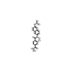 CCON(C(=O)c1ccc(C(=O)NO)cc1)c1ccc2cc(CN(CC)CC)ccc2c1